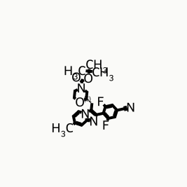 Cc1ccn2c(C[C@H]3CN(C(=O)OC(C)(C)C)CCO3)c(-c3c(F)cc(C#N)cc3F)nc2c1